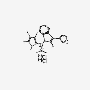 CC1=C(C)C(C)[C]([Zr]([CH]2C(C)=C(c3ccoc3)c3ccccc32)=[Si](C)C)=C1C.Cl.Cl